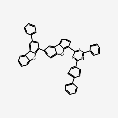 c1ccc(-c2ccc(-c3nc(-c4ccccc4)nc(-c4cccc5c4oc4ccc(-c6cc(-c7ccccc7)cc7c6sc6ccccc67)cc45)n3)cc2)cc1